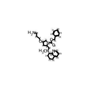 CN(CC1CC(OCCCN)CN1C(=O)OCc1ccccc1)[C@H]1CCCc2cccnc21